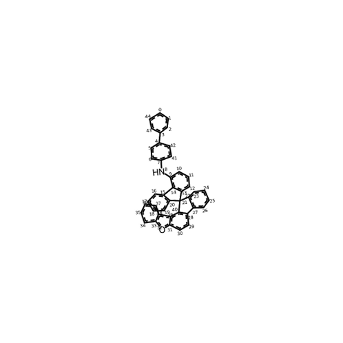 c1ccc(-c2ccc(Nc3cccc4c3-c3ccccc3C43c4ccccc4-c4ccc5oc6ccccc6c5c43)cc2)cc1